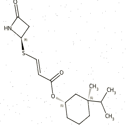 CC(C)[C@@]1(C)CCC[C@H](OC(=O)C=CS[C@@H]2CC(=O)N2)C1